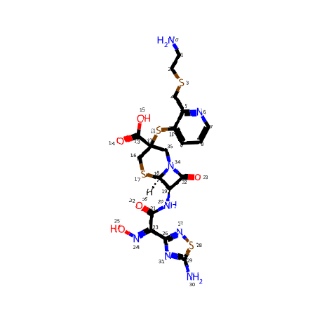 NCCSCc1ncccc1SC1(C(=O)O)CS[C@@H]2[C@H](NC(=O)/C(=N\O)c3nsc(N)n3)C(=O)N2C1